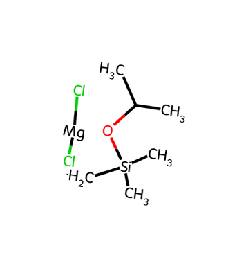 [CH2][Si](C)(C)OC(C)C.[Cl][Mg][Cl]